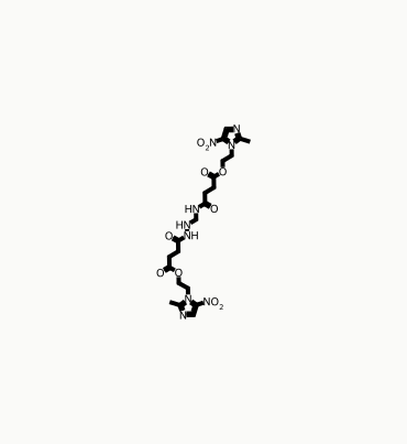 Cc1ncc([N+](=O)[O-])n1CCOC(=O)CCC(=O)NCNNC(=O)CCC(=O)OCCn1c([N+](=O)[O-])cnc1C